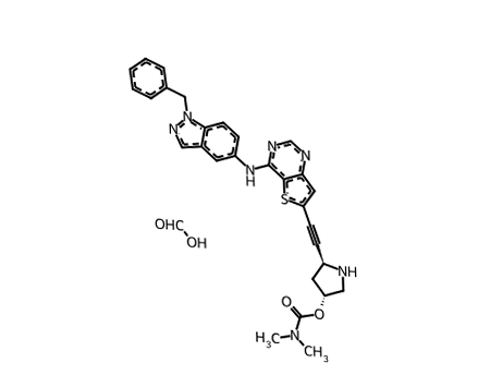 CN(C)C(=O)O[C@H]1CN[C@H](C#Cc2cc3ncnc(Nc4ccc5c(cnn5Cc5ccccc5)c4)c3s2)C1.O=CO